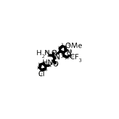 COc1ccc(-c2nc(C(=O)NCc3cccc(Cl)c3)c(CN)o2)c2ccc(C(F)(F)F)nc12